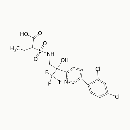 CCC(C(=O)O)S(=O)(=O)NCC(O)(c1ccc(-c2ccc(Cl)cc2Cl)cn1)C(F)(F)F